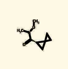 CON(C)C(=O)[C@H]1CC12CC2